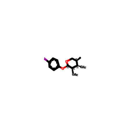 CC(=O)O[C@@H]1[C@@H](OC(C)=O)[C@@H](Oc2ccc(I)cc2)OC[C@H]1C